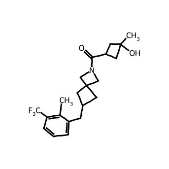 Cc1c(CC2CC3(C2)CN(C(=O)C2CC(C)(O)C2)C3)cccc1C(F)(F)F